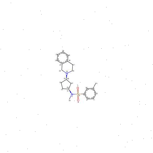 Cc1cccc(S(=O)(=O)N(C)[C@H]2CC[C@@H](N3CCc4ccccc4C3)C2)c1